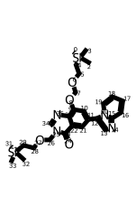 C[Si](C)(C)CCOCOc1cc(-c2cnc3ccccn23)cc2c(=O)n(COCC[Si](C)(C)C)cnc12